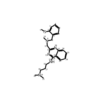 CSc1ccccc1CN(C)Cc1nc(NCCCN(C)C)c2ccccc2n1